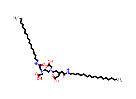 CCCCCCCCCCCCCCCCCCNC(=O)CC(CCN(CCN(CC(=O)O)CC(=O)NCCCCCCCCCCCCCCCCCC)CC(=O)O)CC(=O)O